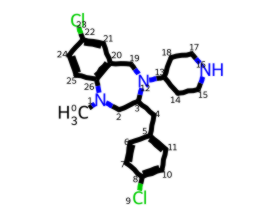 CN1CC(Cc2ccc(Cl)cc2)N(C2CCNCC2)Cc2cc(Cl)ccc21